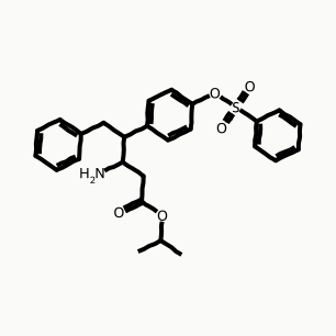 CC(C)OC(=O)CC(N)C(Cc1ccccc1)c1ccc(OS(=O)(=O)c2ccccc2)cc1